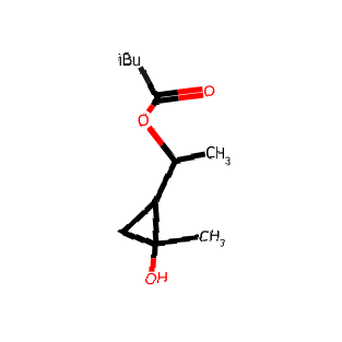 CCC(C)C(=O)OC(C)C1CC1(C)O